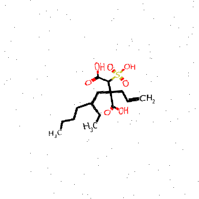 C=CCC(CC(CC)CCCC)(C(=O)O)C(C(=O)O)S(=O)(=O)O